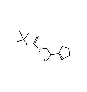 CC(C)(C)OC(=O)NCC(O)C1=CCCC1